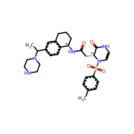 Cc1ccc(S(=O)(=O)N2C=CNC(=O)[C@H]2CC(=O)N[C@@H]2CCCc3cc(C(C)N4CCNCC4)ccc32)cc1